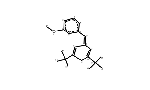 COc1cccc(C=C2C=C(C(C)(C)C)CC(C(C)(C)C)=C2)c1